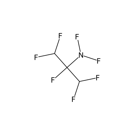 FC(F)C(F)(C(F)F)N(F)F